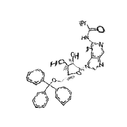 CC(C)C(=O)Nc1ncc2ncn([C@@H]3O[C@H](COC(c4ccccc4)(c4ccccc4)c4ccccc4)[C@@H](O)[C@H]3O)c2n1